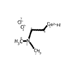 CN(C)C[CH2][GeH+2].[Cl-].[Cl-]